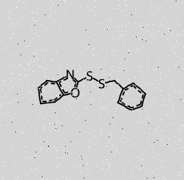 c1ccc(CSSc2nc3ccccc3o2)cc1